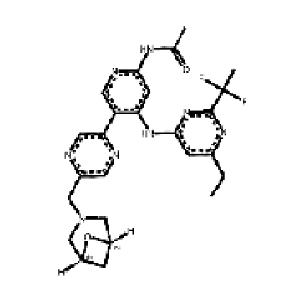 CCc1cc(Nc2cc(NC(C)=O)ncc2-c2cnc(CN3C[C@H]4C[C@@H](C3)O4)cn2)nc(C(C)(F)F)n1